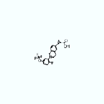 O=C(O)[C@H]1C[C@@H]1c1ccc2c(c1)CCN(c1cc(OC(F)(F)F)ccc1F)C2